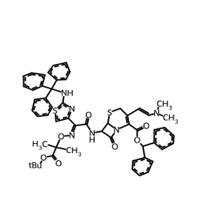 CN(C)C=CC1=C(C(=O)OC(c2ccccc2)c2ccccc2)N2C(=O)C(NC(=O)C(=NOC(C)(C)C(=O)OC(C)(C)C)c3csc(NC(c4ccccc4)(c4ccccc4)c4ccccc4)n3)C2SC1